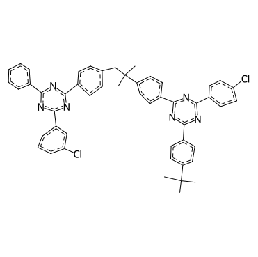 CC(C)(C)c1ccc(-c2nc(-c3ccc(Cl)cc3)nc(-c3ccc(C(C)(C)Cc4ccc(-c5nc(-c6ccccc6)nc(-c6cccc(Cl)c6)n5)cc4)cc3)n2)cc1